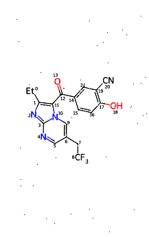 CCc1nc2ncc(CC(F)(F)F)cn2c1C(=O)c1ccc(O)c(C#N)c1